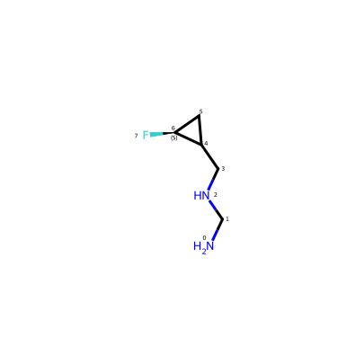 NCNCC1C[C@@H]1F